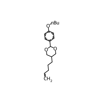 C=CCCCC1COC(c2ccc(OCCCC)cc2)OC1